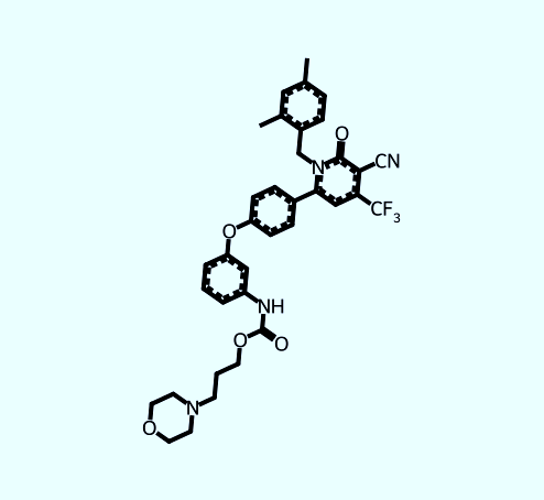 Cc1ccc(Cn2c(-c3ccc(Oc4cccc(NC(=O)OCCCN5CCOCC5)c4)cc3)cc(C(F)(F)F)c(C#N)c2=O)c(C)c1